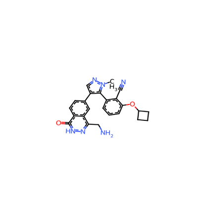 Cn1ncc(-c2ccc3c(=O)[nH]nc(CN)c3c2)c1-c1cccc(OC2CCC2)c1C#N